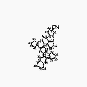 N#Cc1ccc(-c2ccc3c4c(cccc24)-c2c(-c4ccccc4)c(-c4ccc5ccccc5c4)cc(-c4ccccc4)c2-3)cc1